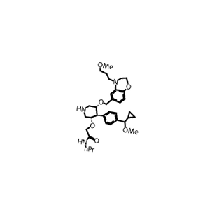 CCCNC(=O)CO[C@@H]1CNC[C@H](OCc2ccc3c(c2)N(CCCOC)CCO3)[C@H]1c1ccc(C(OC)C2CC2)cc1